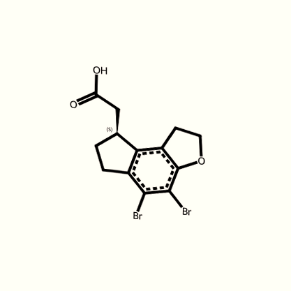 O=C(O)C[C@@H]1CCc2c(Br)c(Br)c3c(c21)CCO3